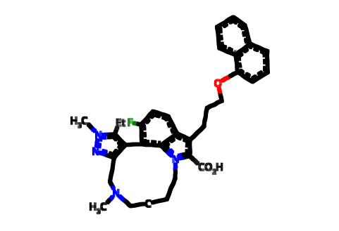 CCc1c2c(nn1C)CN(C)CCCCn1c(C(=O)O)c(CCCOc3cccc4ccccc34)c3ccc(F)c-2c31